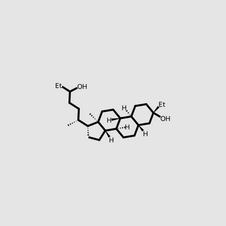 CCC(O)CC[C@@H](C)[C@H]1CC[C@H]2[C@@H]3CC[C@H]4C[C@](O)(CC)CC[C@@H]4[C@H]3CC[C@]12C